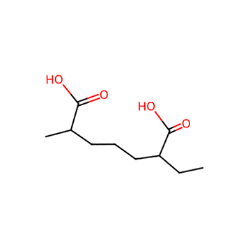 CCC(CCCC(C)C(=O)O)C(=O)O